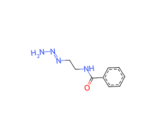 NN=NCCNC(=O)c1ccccc1